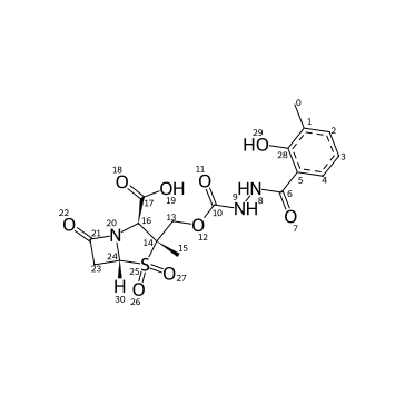 Cc1cccc(C(=O)NNC(=O)OC[C@@]2(C)[C@H](C(=O)O)N3C(=O)C[C@H]3S2(=O)=O)c1O